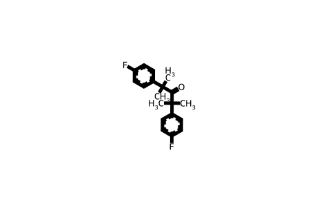 CC(C)(C(=O)C(C)(C)c1ccc(F)cc1)c1ccc(F)cc1